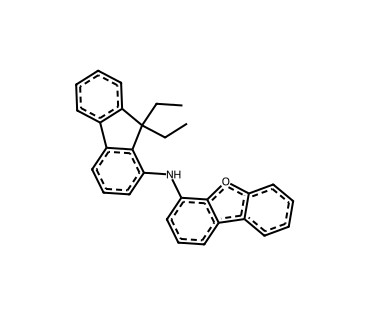 CCC1(CC)c2ccccc2-c2cccc(Nc3cccc4c3oc3ccccc34)c21